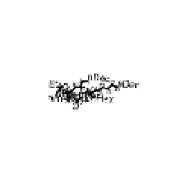 CCCCCCCCCCCC(=O)OCCCCCC.CCCCCCCCCCCCCCCC(=O)OC(CC)CCCCC.CCCCCCCCCCCCCCCCC(CC)(CCCCCC)C(=O)O